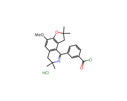 COc1cc2c(c3c1OC(C)(C)C3)C(c1cccc(C(=O)Cl)c1)=NC(C)(C)C2.Cl